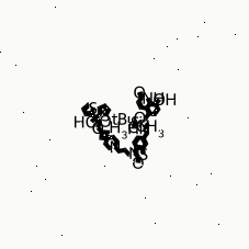 CC(C)(C)[Si](C)(C)O[C@@H](CNCc1ccc2c(c1)sc(=O)n2CCCN1CCC2(CC1)CC(OC(=O)C(O)(c1cccs1)c1cccs1)C2)c1ccc(O)c2[nH]c(=O)ccc12